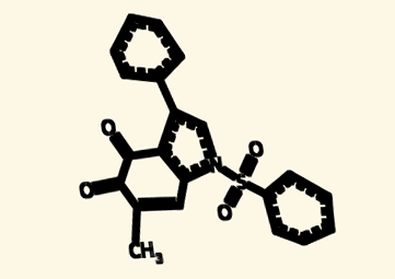 CC1=Cc2c(c(-c3ccccc3)cn2S(=O)(=O)c2ccccc2)C(=O)C1=O